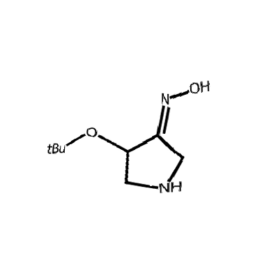 CC(C)(C)OC1CNC/C1=N\O